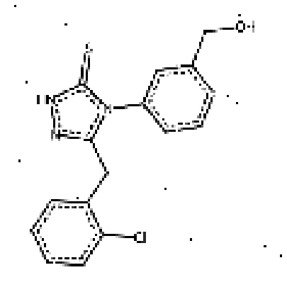 OCc1cccc(-n2c(Cc3ccccc3Cl)n[nH]c2=S)c1